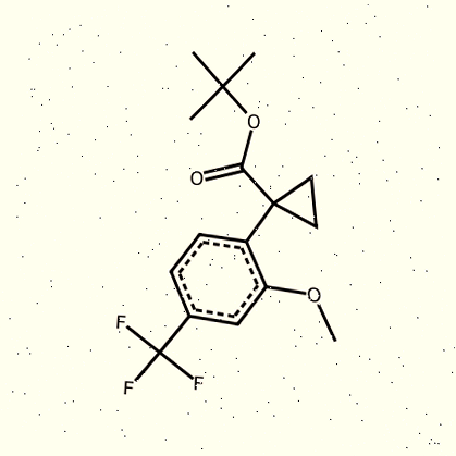 COc1cc(C(F)(F)F)ccc1C1(C(=O)OC(C)(C)C)CC1